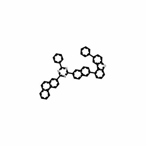 c1ccc(-c2ccc3oc4cccc(-c5ccc6cc(-c7nc(-c8ccccc8)nc(-c8ccc9c(ccc%10ccccc%109)c8)n7)ccc6c5)c4c3c2)cc1